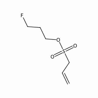 C=CCS(=O)(=O)OCCCF